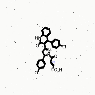 O=C(O)/C=C/C(=O)N1N=C(c2c(-c3ccc(Cl)cc3)c3ccccc3[nH]c2=O)CC1c1ccc(Cl)cc1